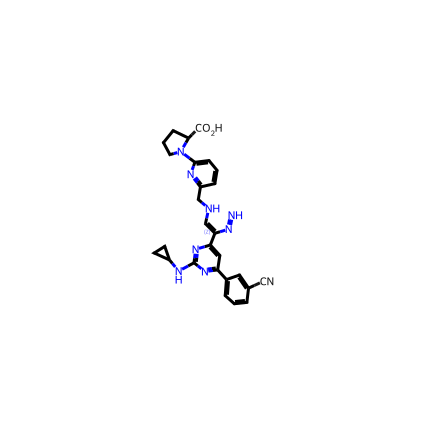 N#Cc1cccc(-c2cc(/C(=C/NCc3cccc(N4CCCC4C(=O)O)n3)N=N)nc(NC3CC3)n2)c1